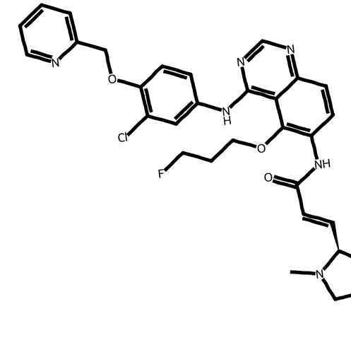 CN1CCC[C@@H]1/C=C/C(=O)Nc1ccc2ncnc(Nc3ccc(OCc4ccccn4)c(Cl)c3)c2c1OCCCF